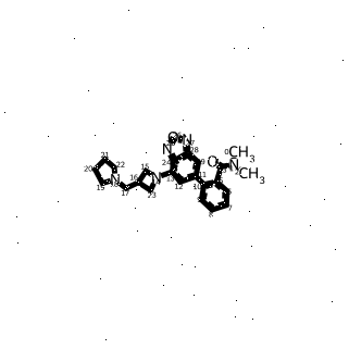 CN(C)C(=O)c1ccccc1-c1cc(N2CC(CN3CCCC3)C2)c2nonc2c1